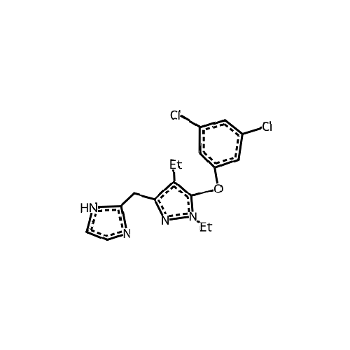 CCc1c(Cc2ncc[nH]2)nn(CC)c1Oc1cc(Cl)cc(Cl)c1